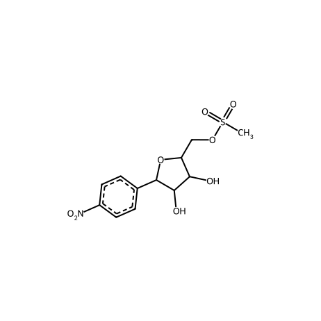 CS(=O)(=O)OCC1OC(c2ccc([N+](=O)[O-])cc2)C(O)C1O